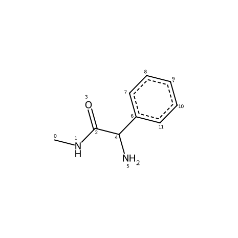 CNC(=O)C(N)c1cc[c]cc1